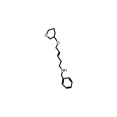 C(=CCOC1CCCOC1)CCNCc1ccccc1